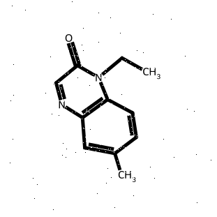 CCn1c(=O)cnc2cc(C)ccc21